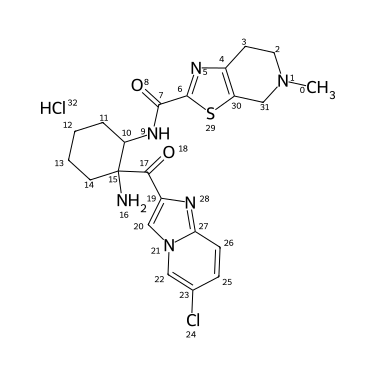 CN1CCc2nc(C(=O)NC3CCCCC3(N)C(=O)c3cn4cc(Cl)ccc4n3)sc2C1.Cl